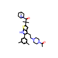 CC(=O)N1CCN(CCc2c(-c3cc(C)cc(C)c3)[nH]c3sc(C(C)(C)C(=O)N4CC5CCC4CC5)cc23)CC1